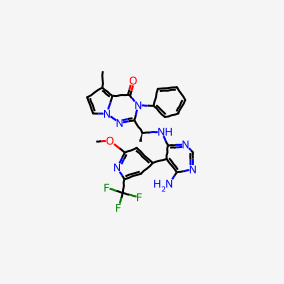 COc1cc(-c2c(N)ncnc2N[C@@H](C)c2nn3ccc(C)c3c(=O)n2-c2ccccc2)cc(C(F)(F)F)n1